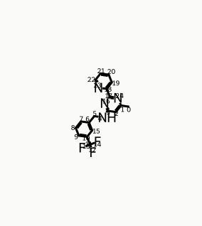 Cc1cc(NCc2cccc(C(F)(F)F)c2)nc(-c2ccccn2)n1